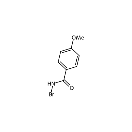 COc1ccc(C(=O)NBr)cc1